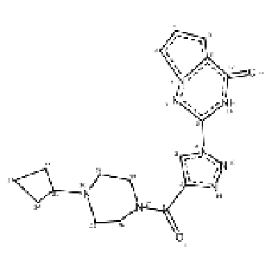 O=C(c1cn(-c2nn3cccc3c(=O)[nH]2)nn1)N1CCN(C2CCC2)CC1